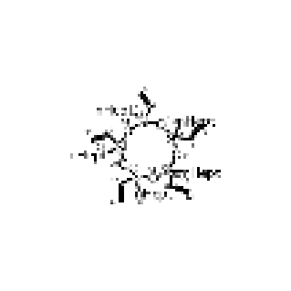 C=C[Si]1(CCCCCCC)O[Si](C=C)(CCCCCCC)O[Si](C=C)(CCCCCCC)O[Si](C=C)(CCCCCCC)O[Si](C=C)(CCCCCCC)O1